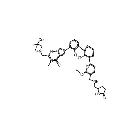 COc1nc(-c2cccc(-c3cccc(-c4cc5c(=O)n(C)c(CN6CC(C)(O)C6)nn5c4)c3Cl)c2Cl)ccc1CNCC1CCC(=O)N1